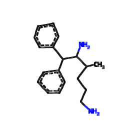 CC(CCCN)C(N)C(c1ccccc1)c1ccccc1